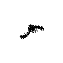 Cc1ncsc1-c1ccc([C@H](C)NC(=O)[C@@H]2C[C@@H](O)CN2C(=O)[C@@H](c2cc(NCCNCC3CCN(C(=O)OC(C)(C)C)CC3)no2)C(C)C)cc1